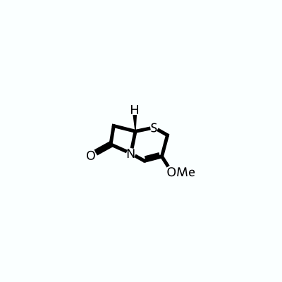 COC1=CN2C(=O)C[C@@H]2SC1